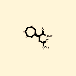 COC(=O)CC(C(=O)OC)=C1CCCCCC1